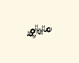 Cc1cc(N(C)C)c2cc(Nc3ncnc(NCc4ccncc4)n3)ccc2n1